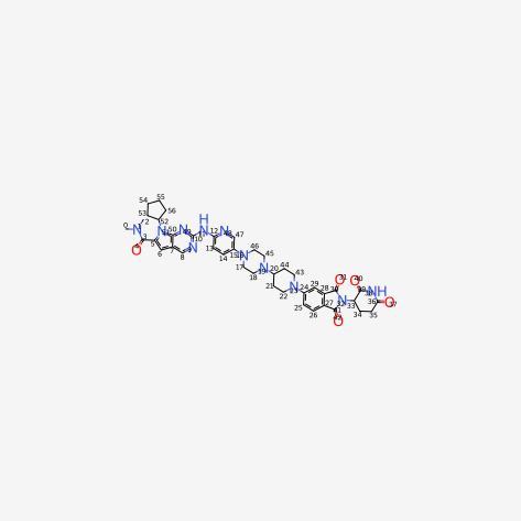 CN(C)C(=O)c1cc2cnc(Nc3ccc(N4CCN(C5CCN(c6ccc7c(c6)C(=O)N(C6CCC(=O)NC6=O)C7=O)CC5)CC4)cn3)nc2n1C1CCCC1